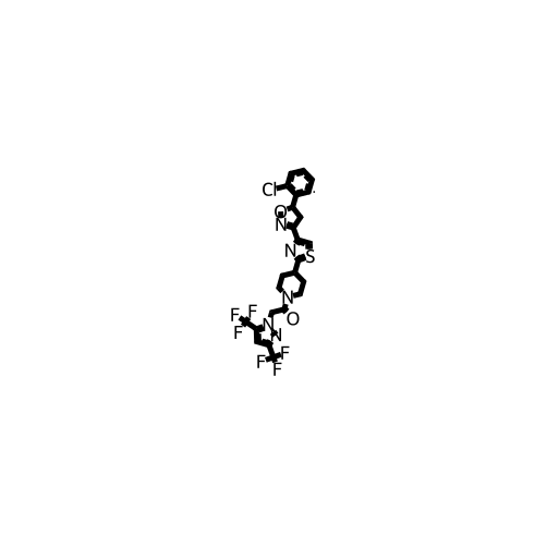 O=C(Cn1nc(C(F)(F)F)cc1C(F)(F)F)N1CCC(c2nc(C3=NOC(c4[c]cccc4Cl)C3)cs2)CC1